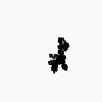 CCc1c(N2CCN(C(=O)c3ncc4c(c3OCOC)OCC4)CC2)c(=O)n2nc(C3=CCOCC3)nc2n1CC(=O)Nc1ccc(C(F)(F)F)cc1Cl